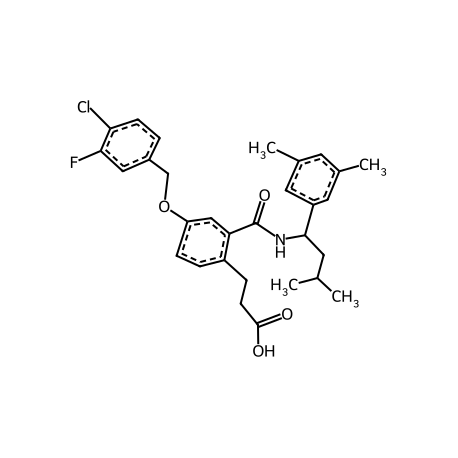 Cc1cc(C)cc(C(CC(C)C)NC(=O)c2cc(OCc3ccc(Cl)c(F)c3)ccc2CCC(=O)O)c1